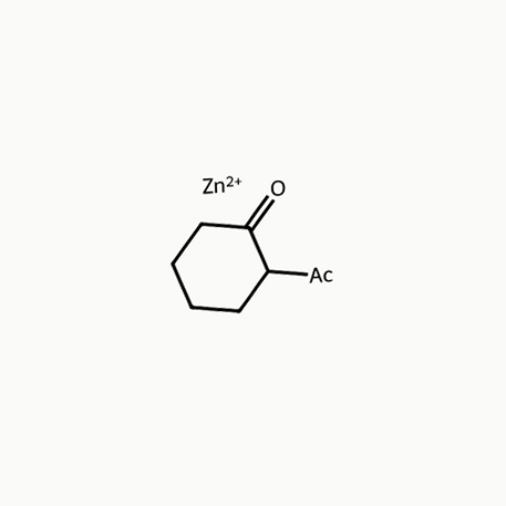 CC(=O)C1CCCCC1=O.[Zn+2]